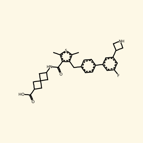 Cc1sc(C)c(C(=O)NC2CC3(C2)CC(C(=O)O)C3)c1Cc1ccc(-c2cc(F)cc(C3CNC3)c2)cc1